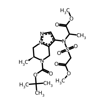 COC(=O)CS(=O)(=O)N(c1cnn2c1CN(C(=O)OC(C)(C)C)[C@@H](C)C2)C(C)C(=O)OC